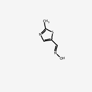 Cc1ncc(/C=N/O)s1